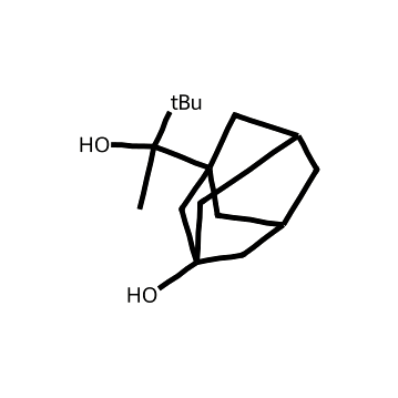 CC(C)(C)C(C)(O)C12CC3CC(CC(O)(C3)C1)C2